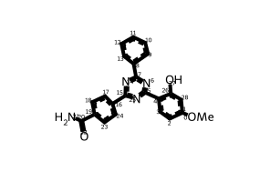 COc1ccc(-c2nc(-c3ccccc3)nc(-c3ccc(C(N)=O)cc3)n2)c(O)c1